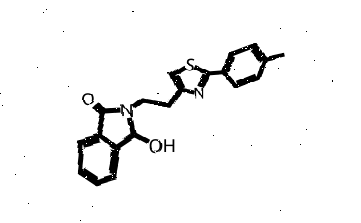 Cc1ccc(-c2nc(CCN3C(=O)c4ccccc4C3O)cs2)cc1